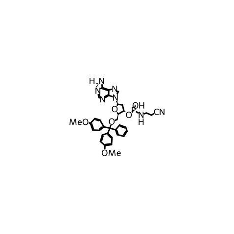 COc1ccc(C(OC[C@H]2O[C@@H](n3cnc4c(N)ncnc43)C[C@@H]2OP(O)NCCC#N)(c2ccccc2)c2ccc(OC)cc2)cc1